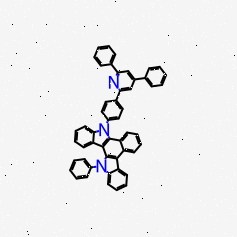 c1ccc(-c2cc(-c3ccccc3)nc(-c3ccc(-n4c5ccccc5c5c4c4ccccc4c4c6ccccc6n(-c6ccccc6)c45)cc3)c2)cc1